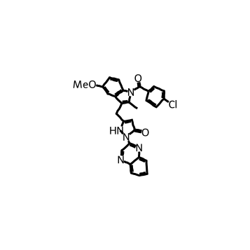 COc1ccc2c(c1)c(Cc1cc(=O)n(-c3cnc4ccccc4n3)[nH]1)c(C)n2C(=O)c1ccc(Cl)cc1